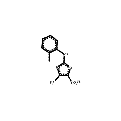 CCOC(=O)c1oc(Nc2ccccc2C)nc1C(F)(F)F